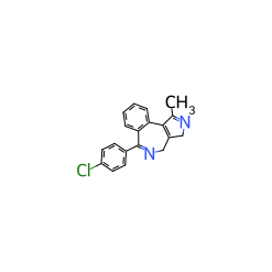 CC1=NCC2=C1c1ccccc1C(c1ccc(Cl)cc1)=NC2